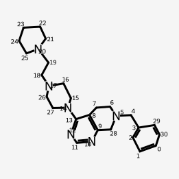 c1ccc(CN2CCc3c(ncnc3N3CCN(CCN4CCCCC4)CC3)C2)cc1